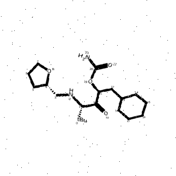 CC(C)(C)[C@H](NC[C@@H]1CCCO1)C(=O)C(CC1CCCCC1)OC(N)=O